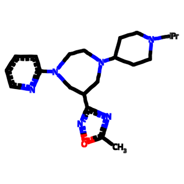 Cc1nc(C2CN(c3ccccn3)CCN(C3CCN(C(C)C)CC3)C2)no1